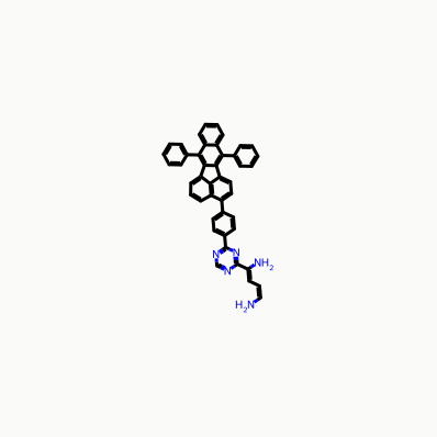 N/C=C\C=C(/N)c1ncnc(-c2ccc(-c3ccc4c5c(cccc35)-c3c-4c(-c4ccccc4)c4ccccc4c3-c3ccccc3)cc2)n1